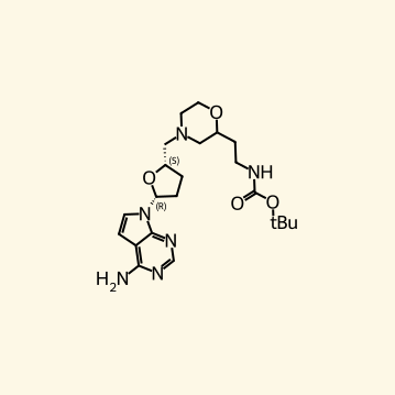 CC(C)(C)OC(=O)NCCC1CN(C[C@@H]2CC[C@H](n3ccc4c(N)ncnc43)O2)CCO1